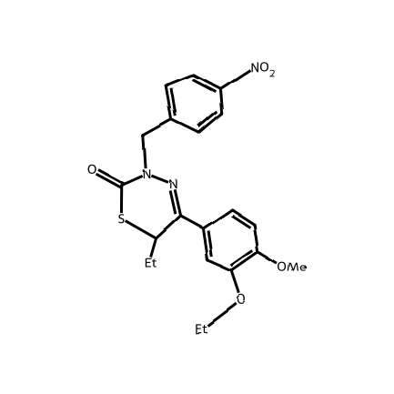 CCOc1cc(C2=NN(Cc3ccc([N+](=O)[O-])cc3)C(=O)SC2CC)ccc1OC